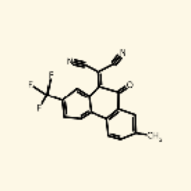 Cc1ccc2c(c1)C(=O)C(=C(C#N)C#N)c1cc(C(F)(F)F)ccc1-2